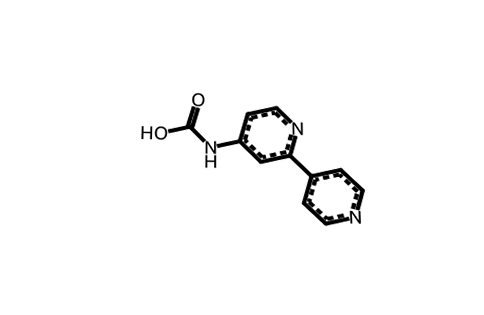 O=C(O)Nc1ccnc(-c2ccncc2)c1